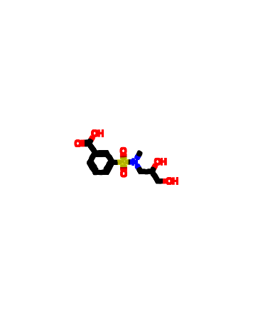 CN(CC(O)CO)S(=O)(=O)c1cccc(C(=O)O)c1